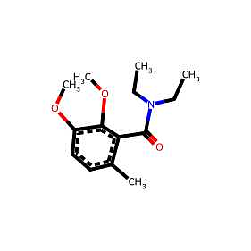 CCN(CC)C(=O)c1c(C)ccc(OC)c1OC